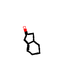 O=C1CC2=CCCCC2C1